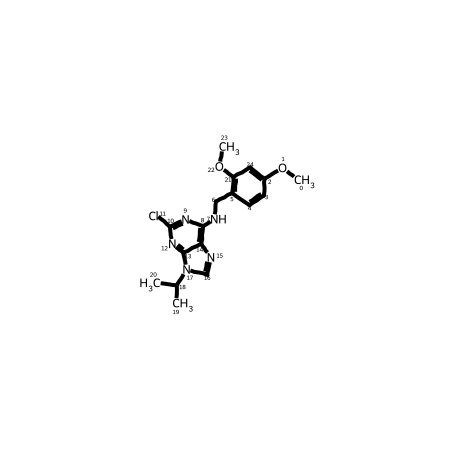 COc1ccc(CNc2nc(Cl)nc3c2ncn3C(C)C)c(OC)c1